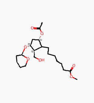 COC(=O)CCCCCCC1[C@@H](OC(C)=O)C[C@@H](OC2CCCCO2)[C@@H]1CO